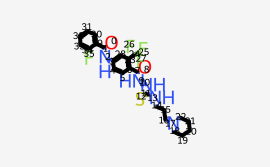 O=C(Nc1ccc(C(=O)NNC(=S)NCCCN2CCCCC2)c(C(F)(F)F)c1)c1ccccc1F